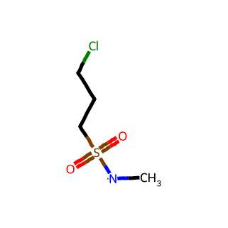 C[N]S(=O)(=O)CCCCl